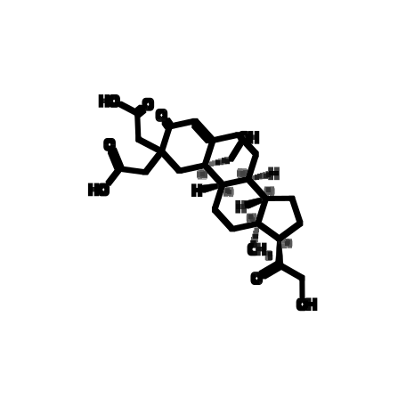 C[C@]12CC[C@H]3[C@@H](CCC4=CC(=O)C(CC(=O)O)(CC(=O)O)C[C@@]43CO)[C@@H]1CC[C@H]2C(=O)CO